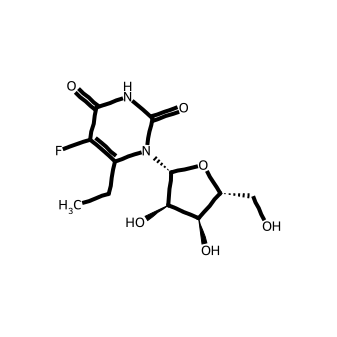 CCc1c(F)c(=O)[nH]c(=O)n1[C@@H]1O[C@H](CO)[C@@H](O)[C@H]1O